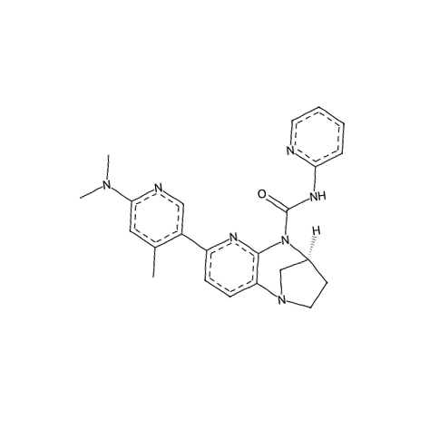 Cc1cc(N(C)C)ncc1-c1ccc2c(n1)N(C(=O)Nc1ccccn1)[C@H]1CCN2C1